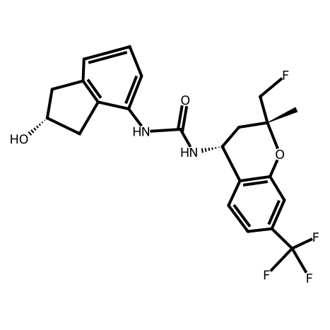 C[C@]1(CF)C[C@@H](NC(=O)Nc2cccc3c2C[C@H](O)C3)c2ccc(C(F)(F)F)cc2O1